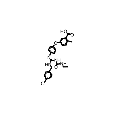 CCNC(=O)N/C(=N\c1ccc(Oc2ccc(C)c(C(=O)O)c2)cc1)NCc1ccc(Cl)cc1